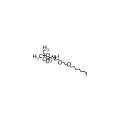 CC(C)(C)OC(=O)NCCOCCOCCCCCCI